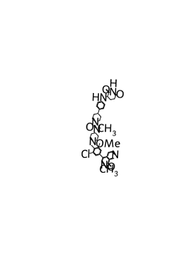 COc1cc(-c2cn(C)c(=O)c3cnccc23)cc(Cl)c1CN1CCC(N(C)C(=O)N2CCC(c3ccc(NC4CCC(=O)NC4=O)cc3)CC2)CC1